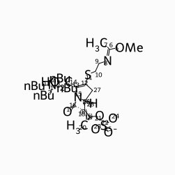 CCCC[N+](CCCC)(CCCC)CCCC.COC(C)=NCCSC1=C(C(=O)O)N2C(=O)[C@@H]([C@H](C)OS(=O)(=O)[O-])[C@H]2C1